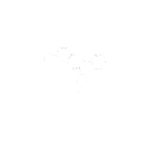 CCCCNC(=O)C(Oc1ccc(B(O)O)cc1)c1ccccc1